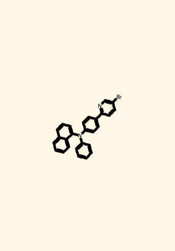 Brc1ccc(-c2ccc(N(c3ccccc3)c3cccc4ccccc34)cc2)nc1